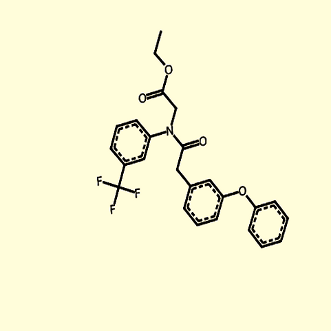 CCOC(=O)CN(C(=O)Cc1cccc(Oc2ccccc2)c1)c1cccc(C(F)(F)F)c1